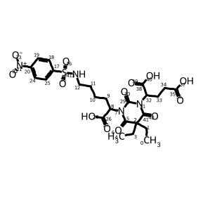 CCC1(CC)C(=O)N(C(CCCCNS(=O)(=O)c2ccc([N+](=O)[O-])cc2)C(=O)O)C(=O)N(C(CCC(=O)O)C(=O)O)C1=O